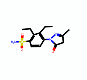 CCc1c(N2N=C(C)CC2=O)ccc(S(N)(=O)=O)c1CC